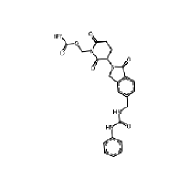 CCCC(=O)OCN1C(=O)CCC(N2Cc3cc(CNC(=O)Nc4ccccc4)ccc3C2=O)C1=O